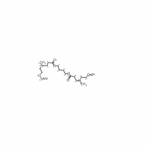 CSOCCN(C)CCC(=O)OCCCCOC(=O)CCN(C)CCOC(C)C